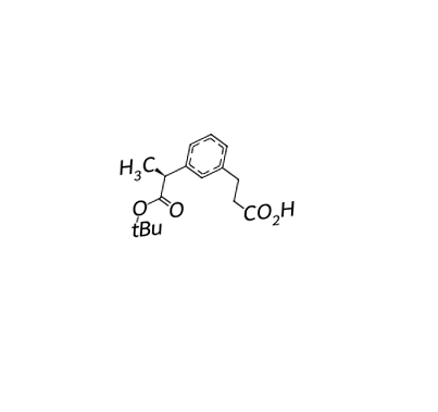 C[C@H](C(=O)OC(C)(C)C)c1cccc(CCC(=O)O)c1